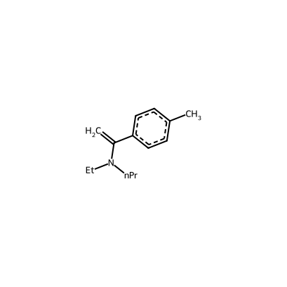 C=C(c1ccc(C)cc1)N(CC)CCC